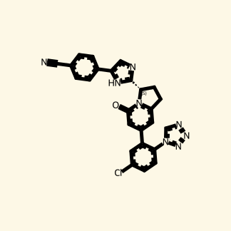 N#Cc1ccc(-c2cnc([C@@H]3CCc4cc(-c5cc(Cl)ccc5-n5cnnn5)cc(=O)n43)[nH]2)cc1